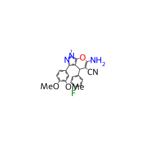 COc1ccc(-c2nn(C)c3c2C(c2ccc(F)cc2)C(C#N)=C(N)O3)cc1OC